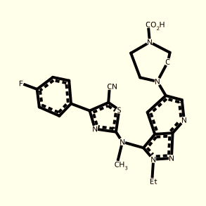 CCn1nc2ncc(N3CCN(C(=O)O)CC3)cc2c1N(C)c1nc(-c2ccc(F)cc2)c(C#N)s1